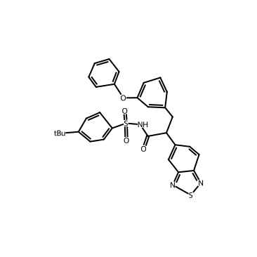 CC(C)(C)c1ccc(S(=O)(=O)NC(=O)C(Cc2cccc(Oc3ccccc3)c2)c2ccc3nsnc3c2)cc1